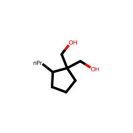 CCCC1CCCC1(CO)CO